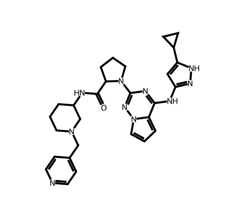 O=C(NC1CCCN(Cc2ccncc2)C1)C1CCCN1c1nc(Nc2cc(C3CC3)[nH]n2)c2cccn2n1